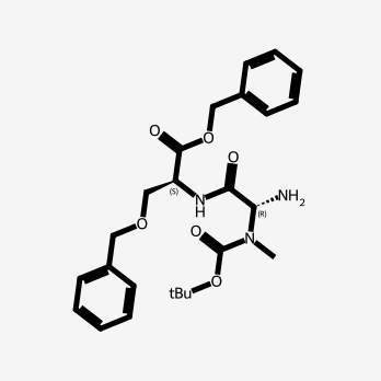 CN(C(=O)OC(C)(C)C)[C@@H](N)C(=O)N[C@@H](COCc1ccccc1)C(=O)OCc1ccccc1